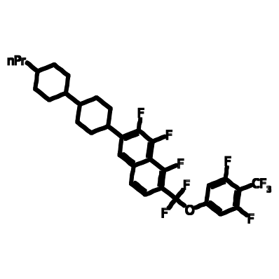 CCCC1CCC(C2CCC(c3cc4ccc(C(F)(F)Oc5cc(F)c(C(F)(F)F)c(F)c5)c(F)c4c(F)c3F)CC2)CC1